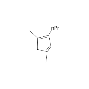 CCCC1=C(C)CC(C)=C1